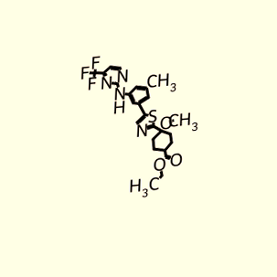 CCOC(=O)C1CCC(OC)(c2ncc(-c3cc(C)cc(Nc4nccc(C(F)(F)F)n4)c3)s2)CC1